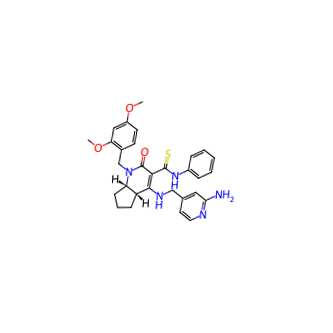 COc1ccc(CN2C(=O)C(C(=S)Nc3ccccc3)=C(NCc3ccnc(N)c3)[C@@H]3CCC[C@@H]32)c(OC)c1